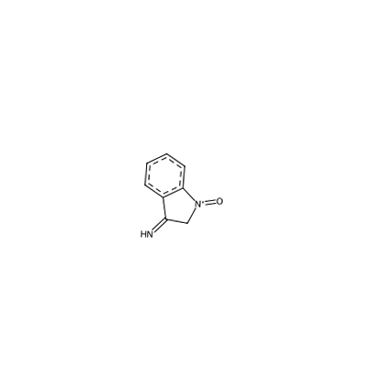 N=C1C[N+](=O)c2ccccc21